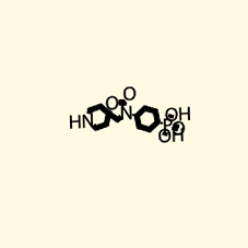 O=C1OC2(CCNCC2)CN1[C@H]1CC[C@@H](P(=O)(O)O)CC1